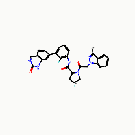 CC(=O)c1nn(CC(=O)N2C[C@H](F)CC2C(=O)Nc2cccc(-c3ccc4c(c3)NC(=O)NC4)c2F)c2ccccc12